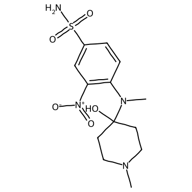 CN1CCC(O)(N(C)c2ccc(S(N)(=O)=O)cc2[N+](=O)[O-])CC1